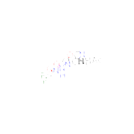 CC(=O)Nc1cc(Oc2ccc(NC(=O)N3CCC4(CC(F)(F)C4)C3=O)nc2C)ccn1